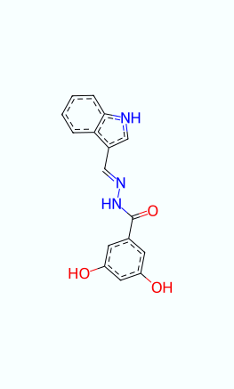 O=C(N/N=C/c1c[nH]c2ccccc12)c1cc(O)cc(O)c1